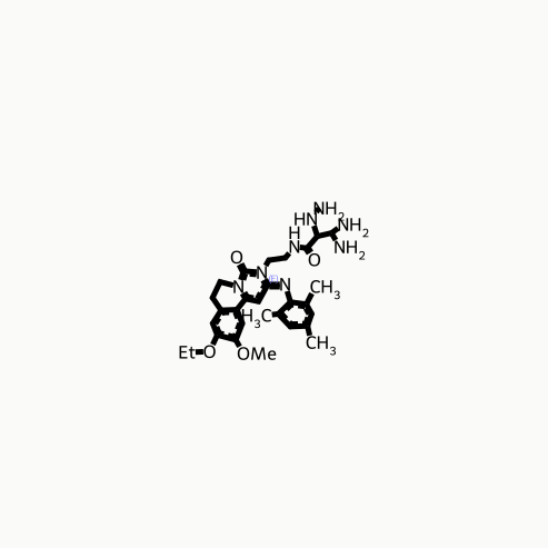 CCOc1cc2c(cc1OC)-c1c/c(=N\c3c(C)cc(C)cc3C)n(CCNC(=O)C(NN)C(N)N)c(=O)n1CC2